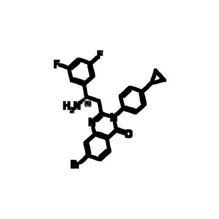 N[C@@H](Cc1nc2cc(Br)ccc2c(=O)n1-c1ccc(C2CC2)cc1)c1cc(F)cc(F)c1